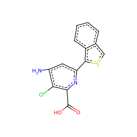 Nc1cc(-c2scc3ccccc23)nc(C(=O)O)c1Cl